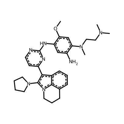 COc1cc(N(C)CCN(C)C)c(N)cc1Nc1nccc(-c2c(N3CCCC3)n3c4c(cccc24)CCC3)n1